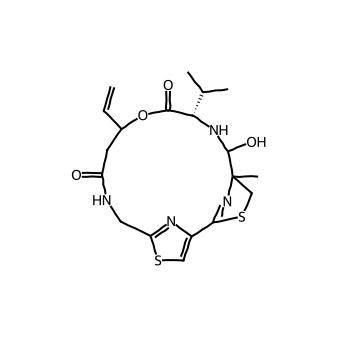 C=CC1CC(=O)NCc2nc(cs2)C2=NC(C)(CS2)C(O)N[C@@H](C(C)C)C(=O)O1